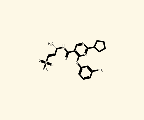 Cc1cccc(Oc2nc(C3CCCC3)ncc2C(=O)N[C@@H](C)/C=C/S(C)(=O)=O)c1